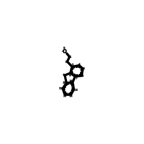 [O]CCc1cccc2c1Cc1ccccc1-2